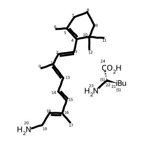 CC(C=CC1=C(C)CCCC1(C)C)=CC=CC(C)=CCN.CC[C@H](C)[C@H](N)C(=O)O